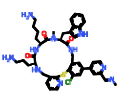 C/N=C/c1cc(-c2cc(Cl)c3c(c2)CNC(=O)[C@H](Cc2c[nH]c4ccccc24)N(C)C(=O)[C@H](CCCCN)NC(=O)[C@H](CCCN)NCc2cccnc2S3)ccn1